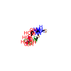 CSCCNc1nc(SCCC(F)(F)F)nc(N(N)C2OC(COP(=O)(O)OP(=O)(O)C(Cl)(Cl)P(=O)(O)O)C(O)C2O)c1N